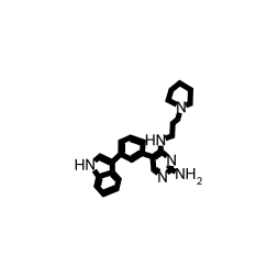 Nc1ncc(-c2cccc(-c3c[nH]c4ccccc34)c2)c(NCCCN2CCCCC2)n1